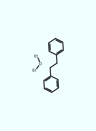 CCOCC.c1ccc(CCc2ccccc2)cc1